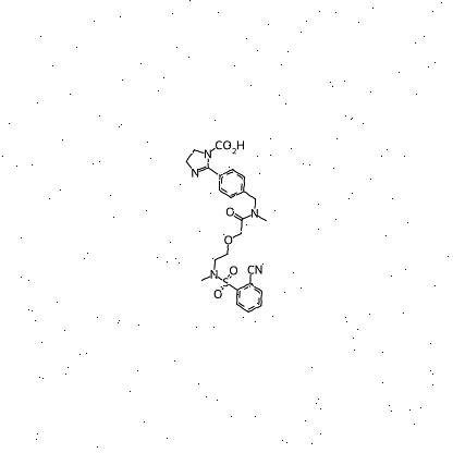 CN(Cc1ccc(C2=NCCN2C(=O)O)cc1)C(=O)COCCN(C)S(=O)(=O)c1ccccc1C#N